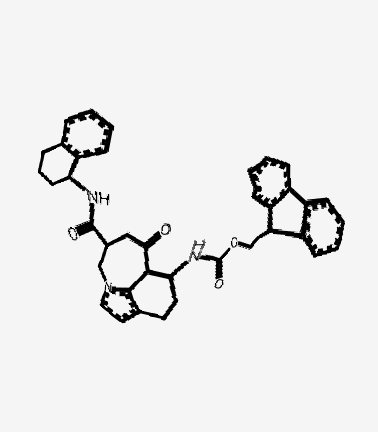 O=C(NC1CCc2ccn3c2C1C(=O)CC(C(=O)NC1CCCc2ccccc21)C3)OCC1c2ccccc2-c2ccccc21